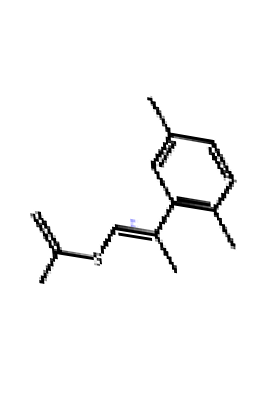 C=C(C)S/C=C(\C)c1cc(C)ccc1C